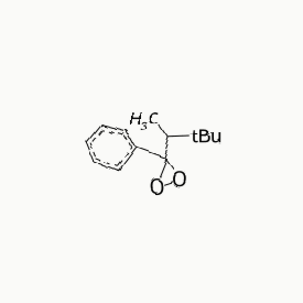 CC(C(C)(C)C)C1(c2ccccc2)OO1